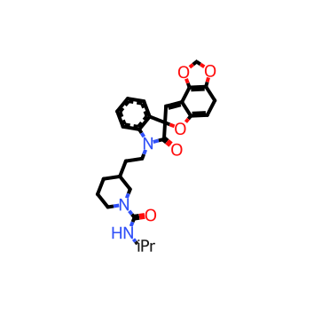 CC(C)NC(=O)N1CCCC(CCN2C(=O)C3(C=C4C(=CCC5=C4OCO5)O3)c3ccccc32)C1